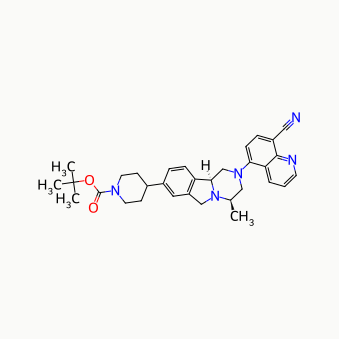 C[C@@H]1CN(c2ccc(C#N)c3ncccc23)C[C@@H]2c3ccc(C4CCN(C(=O)OC(C)(C)C)CC4)cc3CN12